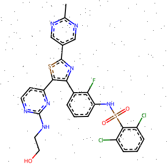 Cc1ncc(-c2nc(-c3cccc(NS(=O)(=O)c4c(Cl)cccc4Cl)c3F)c(-c3ccnc(NCCO)n3)s2)cn1